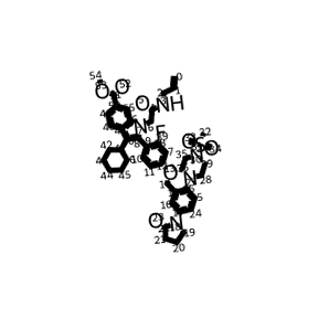 C=CCNC(=O)Cn1c(-c2ccc(OCc3cc(N4CCCC4=O)ccc3N3CCN(S(C)(=O)=O)CC3)cc2F)c(C2CCCCC2)c2ccc(C(=O)OC)cc21